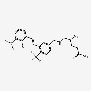 CC(=O)CCC(C)CNCc1ccc(C(F)(F)F)c(/C=C/c2cccc(B(O)O)c2Cl)c1